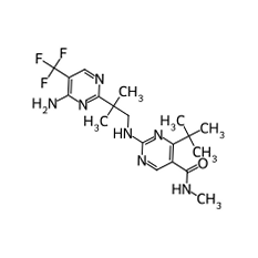 CNC(=O)c1cnc(NCC(C)(C)c2ncc(C(F)(F)F)c(N)n2)nc1C(C)(C)C